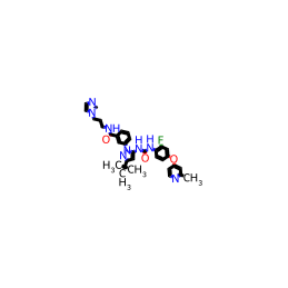 Cc1cc(Oc2ccc(NC(=O)Nc3cc(C(C)(C)C)nn3-c3cccc(C(=O)NCCCn4ccnc4)c3)c(F)c2)ccn1